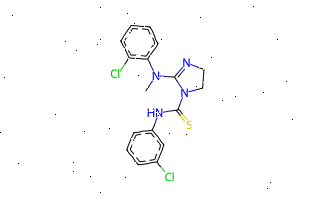 CN(C1=NCCN1C(=S)Nc1cccc(Cl)c1)c1ccccc1Cl